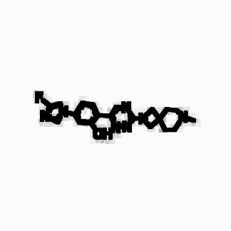 CN1CCC2(CC1)CN(c1ncc(-c3ccc(-n4cnc(F)c4)cc3O)nn1)C2